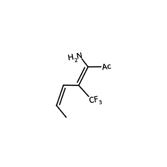 C/C=C\C(=C(/N)C(C)=O)C(F)(F)F